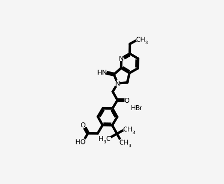 Br.CCc1ccc2c(n1)C(=N)N(CC(=O)c1ccc(CC(=O)O)c(C(C)(C)C)c1)C2